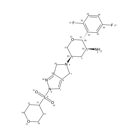 N[C@H]1C[C@@H](N2Cc3cn(S(=O)(=O)C4CCOCC4)nc3C2)CO[C@@H]1c1cc(F)ccc1F